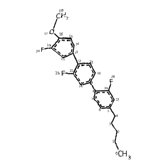 CCCCCc1ccc(-c2ccc(-c3ccc(OC)c(F)c3)c(F)c2)c(F)c1